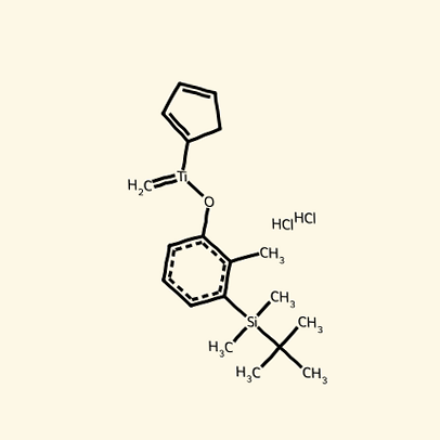 Cl.Cl.[CH2]=[Ti]([O]c1cccc([Si](C)(C)C(C)(C)C)c1C)[C]1=CC=CC1